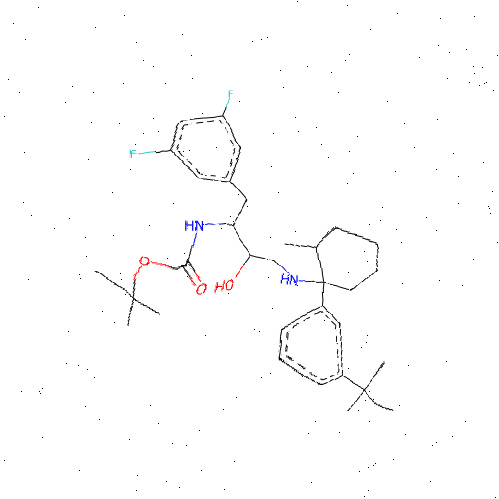 CC1CCCCC1(NCC(O)C(Cc1cc(F)cc(F)c1)NC(=O)OC(C)(C)C)c1cccc(C(C)(C)C)c1